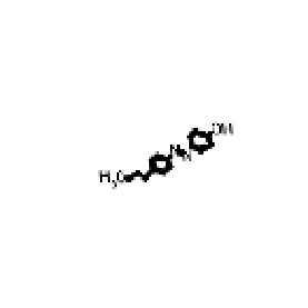 CCCCc1ccc(/N=N/c2ccc(O)cc2)cc1